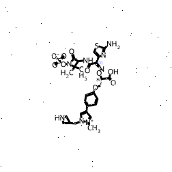 C[n+]1cc(-c2ccc(OC[C@H](O/N=C(\C(=O)NC3C(=O)N(OS(=O)(=O)[O-])C3(C)C)c3csc(N)n3)C(=O)O)cc2)cn1CC1CNC1